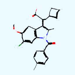 COc1cc2c(C(C(=O)O)C3CCC3)c(C)n(C(=O)c3ccc(C)cc3)c2cc1Cl